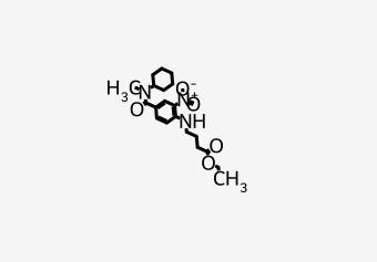 CCOC(=O)CCCNc1ccc(C(=O)N(C)C2CCCCC2)cc1[N+](=O)[O-]